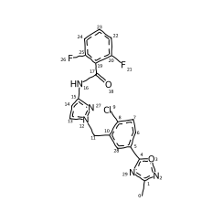 Cc1noc(-c2ccc(Cl)c(Cn3ccc(NC(=O)c4c(F)cccc4F)n3)c2)n1